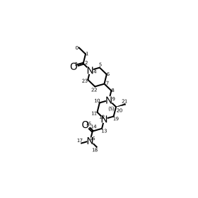 CCC(=O)N1CCC(CN2CCN(CC(=O)N(C)C)C[C@@H]2C)CC1